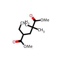 COC(=O)C(CC#N)CC(C)(C)C(=O)OC